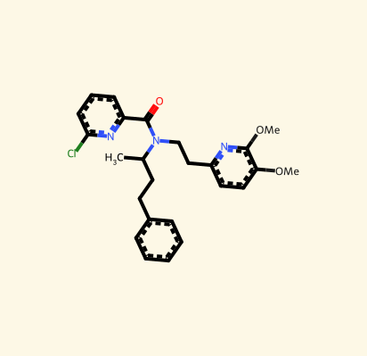 COc1ccc(CCN(C(=O)c2cccc(Cl)n2)C(C)CCc2ccccc2)nc1OC